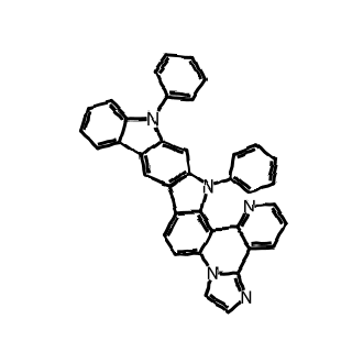 c1ccc(-n2c3ccccc3c3cc4c5ccc6c(c7ncccc7c7nccn67)c5n(-c5ccccc5)c4cc32)cc1